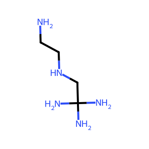 NCCNCC(N)(N)N